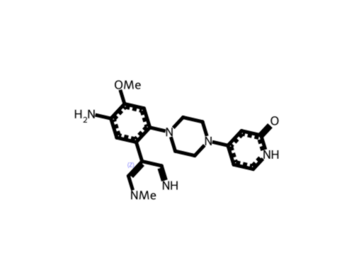 CN/C=C(\C=N)c1cc(N)c(OC)cc1N1CCN(c2cc[nH]c(=O)c2)CC1